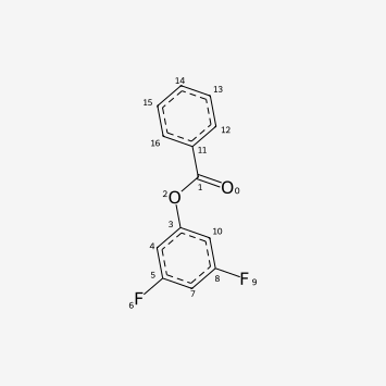 O=C(Oc1cc(F)cc(F)c1)c1ccccc1